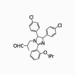 CC(C=O)CN1C(c2ccccc2OC(C)C)=NC(c2ccc(Cl)cc2)C1c1ccc(Cl)cc1